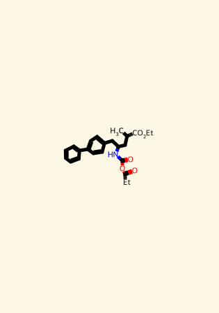 CCOC(=O)C(C)CC(Cc1ccc(-c2ccccc2)cc1)NC(=O)OC(=O)CC